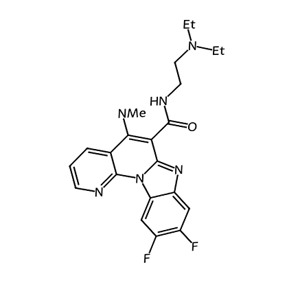 CCN(CC)CCNC(=O)c1c(NC)c2cccnc2n2c1nc1cc(F)c(F)cc12